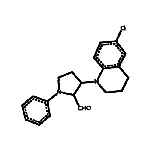 O=CC1C(N2CCCc3cc(Cl)ccc32)CCN1c1ccccc1